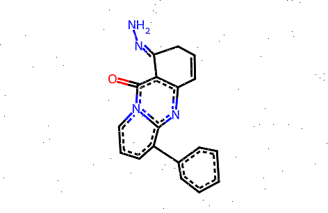 NN=C1CC=Cc2nc3c(-c4ccccc4)cccn3c(=O)c21